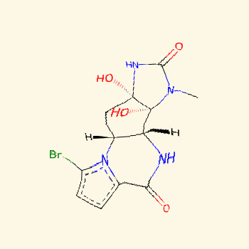 CN1C(=O)N[C@]2(O)C[C@@H]3[C@@H](NC(=O)c4ccc(Br)n43)[C@]12O